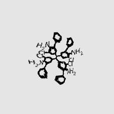 Nc1c(Cl)cc(C(c2cc(Cl)c(N)c(-c3ccccc3)c2)C(c2cc(Cl)c(N)c(-c3ccccc3)c2)c2cc(Cl)c(N)c(-c3ccccc3)c2)cc1-c1ccccc1